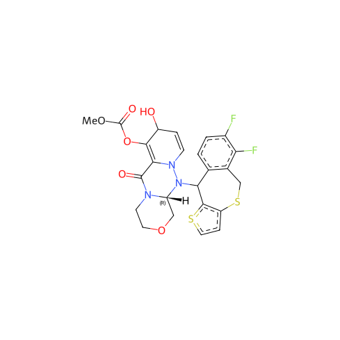 COC(=O)OC1=C2C(=O)N3CCOC[C@H]3N(C3c4ccc(F)c(F)c4CSc4ccsc43)N2C=CC1O